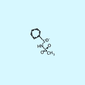 CS(=O)(=O)N[S+]([O-])c1ccccc1